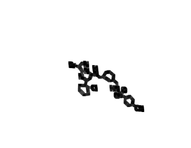 N#Cc1ccc(S(=O)(=O)NCc2cccc(CNc3cc(-c4ccccc4Cl)nc4c(Br)cnn34)c2)cc1